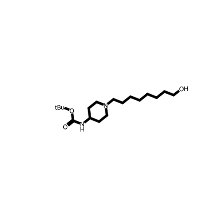 CC(C)(C)OC(=O)NC1CCN(CCCCCCCCO)CC1